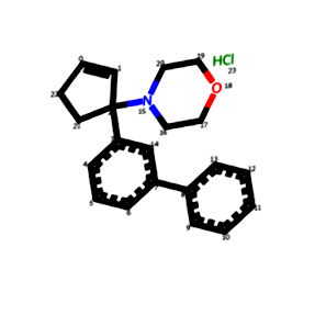 C1=CC(c2cccc(-c3ccccc3)c2)(N2CCOCC2)CC1.Cl